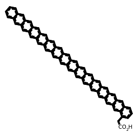 O=C(O)Cc1cccc2cc3cc4cc5cc6cc7cc8cc9cc%10cc%11cc%12cc%13cc%14cc%15cc%16ccccc%16cc%15cc%14cc%13cc%12cc%11cc%10cc9cc8cc7cc6cc5cc4cc3cc12